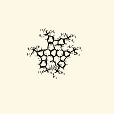 CCC(C)c1c2c3c4c5c1-n1c6cc(C(C)(C)C)ccc6c6cc(C(C)(C)C)cc(c61)B5c1cc(C(C)(C)C)cc5c6cc(C(C)(C)C)cc(c6n-4c15)B3c1cc(C(C)(C)C)cc3c4ccc(C(C)(C)C)cc4n-2c13